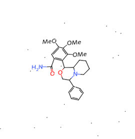 COc1cc(C(N)=O)c(C2OCC(c3ccccc3)N3CCCCC23)c(OC)c1OC